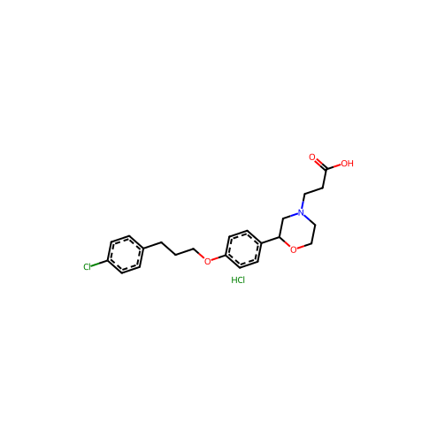 Cl.O=C(O)CCN1CCOC(c2ccc(OCCCc3ccc(Cl)cc3)cc2)C1